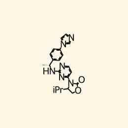 CC(C)C1COC(=O)N1c1ccnc(N[C@H](C)c2ccc(-n3ccnc3)cc2)n1